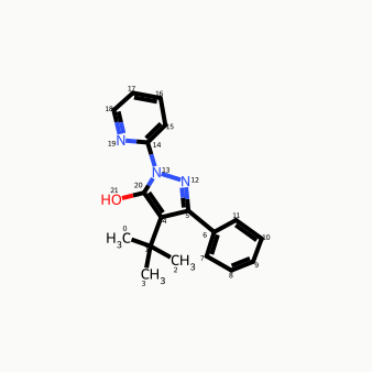 CC(C)(C)c1c(-c2ccccc2)nn(-c2ccccn2)c1O